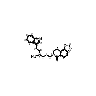 CN(CCCN1CCc2c(ccc3c2OCO3)C1=O)CCc1c[nH]c2ccccc12